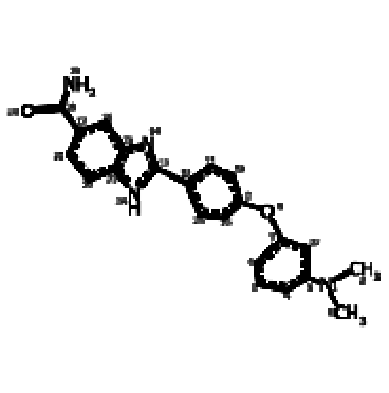 CN(C)c1cccc(Oc2ccc(-c3nc4cc(C(N)=O)ccc4[nH]3)cc2)c1